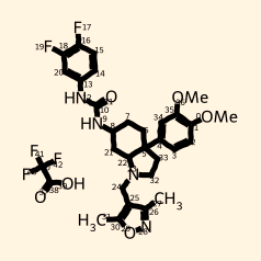 COc1ccc(C23CCC(NC(=O)Nc4ccc(F)c(F)c4)CC2N(Cc2c(C)noc2C)CC3)cc1OC.O=C(O)C(F)(F)F